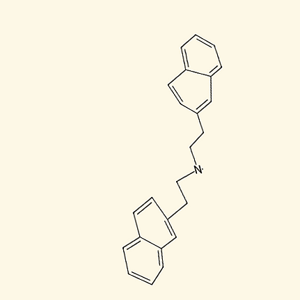 c1ccc2cc(CC[N]CCc3ccc4ccccc4c3)ccc2c1